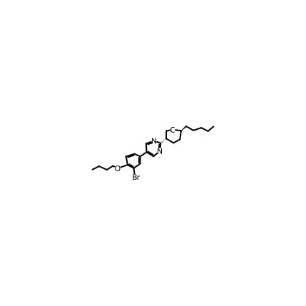 CCCCC[C@H]1CC[C@H](c2ncc(-c3ccc(OCCCC)c(Br)c3)cn2)CC1